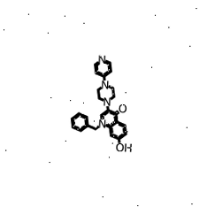 O=c1c(N2CCN(c3ccncc3)CC2)cn(Cc2ccccc2)c2cc(O)ccc12